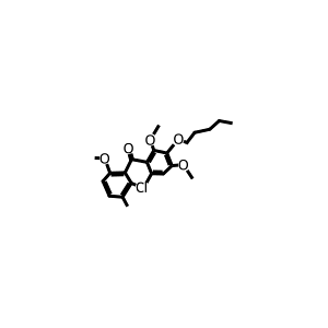 CCCCCOc1c(OC)cc(C)c(C(=O)c2c(OC)ccc(C)c2Cl)c1OC